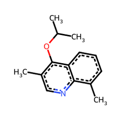 Cc1cnc2c(C)cccc2c1OC(C)C